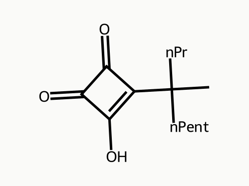 CCCCCC(C)(CCC)c1c(O)c(=O)c1=O